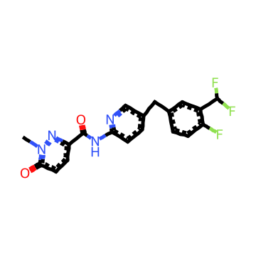 Cn1nc(C(=O)Nc2ccc(Cc3ccc(F)c(C(F)F)c3)cn2)ccc1=O